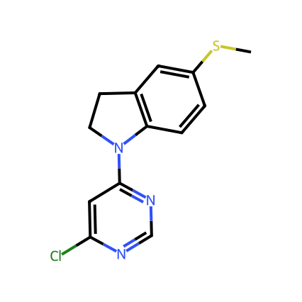 CSc1ccc2c(c1)CCN2c1cc(Cl)ncn1